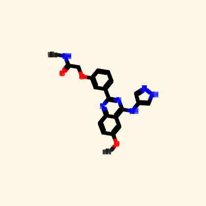 CCCOc1ccc2nc(-c3cccc(OCC(=O)NC(C)(C)C)c3)nc(Nc3cn[nH]c3)c2c1